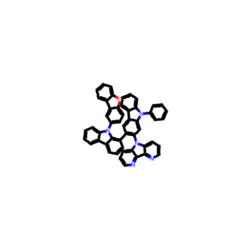 c1ccc(-n2c3ccccc3c3cc(-c4cccc5c6ccccc6n(-c6ccc7oc8ccccc8c7c6)c45)c(-n4c5cccnc5c5ncccc54)cc32)cc1